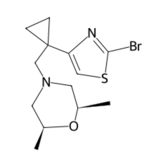 C[C@@H]1CN(CC2(c3csc(Br)n3)CC2)C[C@H](C)O1